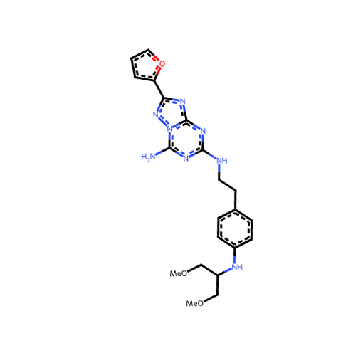 COCC(COC)Nc1ccc(CCNc2nc(N)n3nc(-c4ccco4)nc3n2)cc1